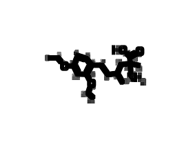 CCOc1ccc(CCC(C)CC(C)(N)C(=O)O)c(OCC)c1